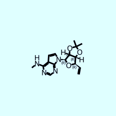 C=C[C@H]1O[C@@H](n2ccc3c(NC)ncnc32)[C@@H]2OC(C)(C)O[C@@H]21